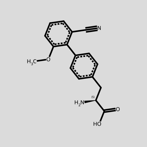 COc1cccc(C#N)c1-c1ccc(C[C@H](N)C(=O)O)cc1